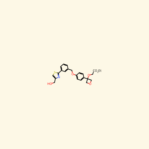 CCOC(=O)COC1(c2ccc(OCc3cccc(-c4nc(CO)cs4)c3)cc2)COC1